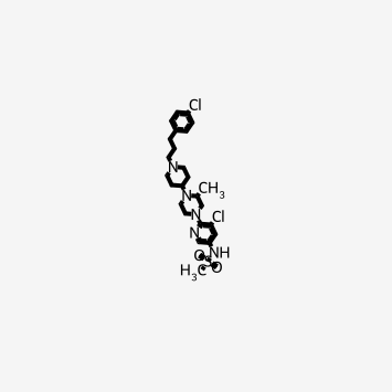 CC1CN(c2ncc(NS(C)(=O)=O)cc2Cl)CCN1C1CCN(CCCc2ccc(Cl)cc2)CC1